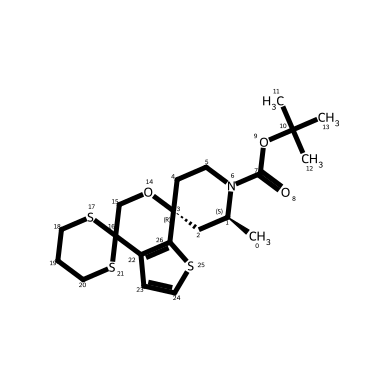 C[C@H]1C[C@@]2(CCN1C(=O)OC(C)(C)C)OCC1(SCCCS1)c1ccsc12